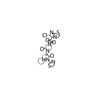 O=C(Nc1nccs1)[C@H](CC1CCCCC1)N1CCN(S(=O)(=O)c2c(Cl)nc3sccn23)CC1=O